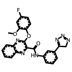 COc1cc(F)ccc1Oc1nc2ccccc2nc1C(=O)Nc1cccc(C2=NN=NC2)c1